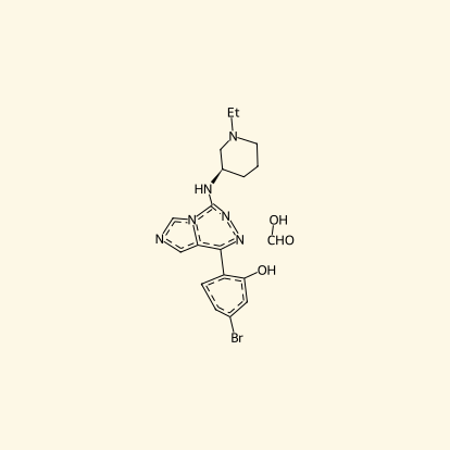 CCN1CCC[C@@H](Nc2nnc(-c3ccc(Br)cc3O)c3cncn23)C1.O=CO